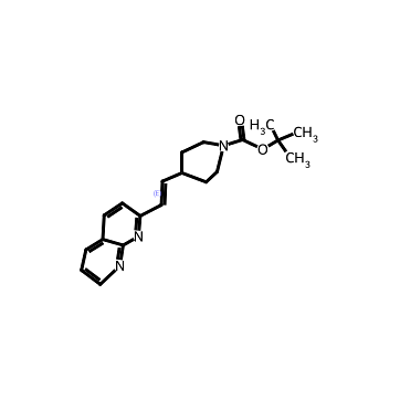 CC(C)(C)OC(=O)N1CCC(/C=C/c2ccc3cccnc3n2)CC1